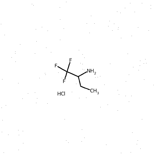 CCC(N)C(F)(F)F.Cl